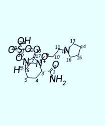 NC(=O)[C@@H]1CC[C@@H]2C[N+]1(OCCN1CCCC1)C(=O)N2OS(=O)(=O)O